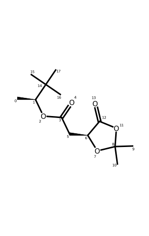 C[C@H](OC(=O)C[C@@H]1OC(C)(C)OC1=O)C(C)(C)C